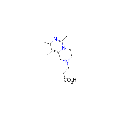 CC1=NC(C)C(C)=C2CN(CCC(=O)O)CCN12